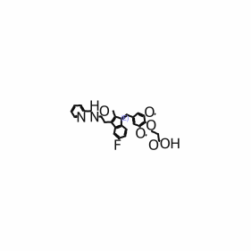 COc1cc(/C=C2/C(C)=C(CC(=O)NCc3ccccn3)c3cc(F)ccc32)cc(OC)c1OCCC(=O)O